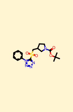 CC(C)(C)OC(=O)N1CCC(CS(=O)(=O)c2nnnn2-c2ccccc2)C1